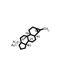 CC(=O)[C@H]1CC[C@H]2[C@@H]3CC[C@@H]4C5C(C)[C@@]5(O)CC[C@@H]4[C@H]3CC[C@]12C